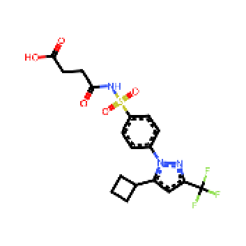 O=C(O)CCC(=O)NS(=O)(=O)c1ccc(-n2nc(C(F)(F)F)cc2C2CCC2)cc1